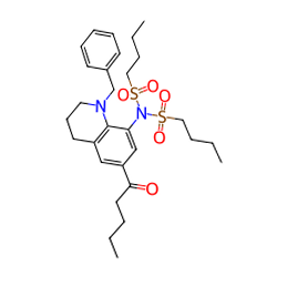 CCCCC(=O)c1cc2c(c(N(S(=O)(=O)CCCC)S(=O)(=O)CCCC)c1)N(Cc1ccccc1)CCC2